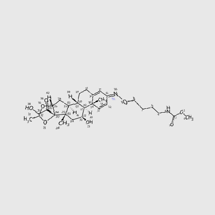 COC(=O)NCCCCO/N=C1\C=C[C@@]2(C)C(=C1)CC[C@@H]1[C@@H]2[C@@H](O)C[C@@]2(C)[C@H]1C[C@H]1OC(C)O[C@]12C(=O)CO